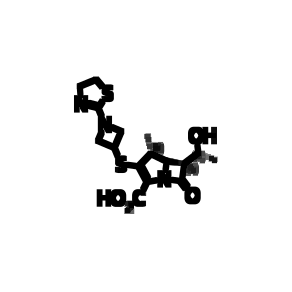 C[C@H]1C(SC2CN(C3=NCCS3)C2)=C(C(=O)O)N2C(=O)[C@H]([C@@H](C)O)C12